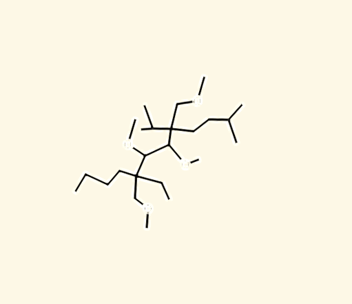 CCCCC(CC)(COC)C(OC)C(OC)C(CCC(C)C)(COC)C(C)C